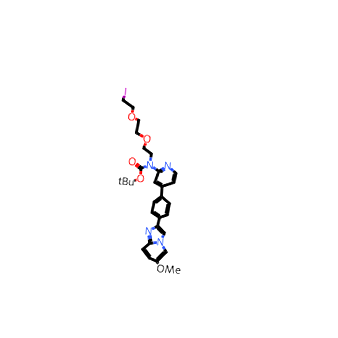 COc1ccc2nc(-c3ccc(-c4ccnc(N(CCOCCOCCI)C(=O)OC(C)(C)C)c4)cc3)cn2c1